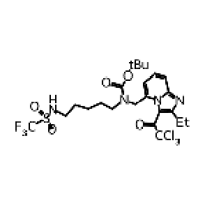 CCc1nc2cccc(CN(CCCCCNS(=O)(=O)C(F)(F)F)C(=O)OC(C)(C)C)n2c1C(=O)C(Cl)(Cl)Cl